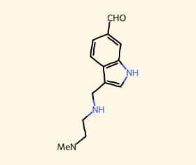 CNCCNCc1c[nH]c2cc(C=O)ccc12